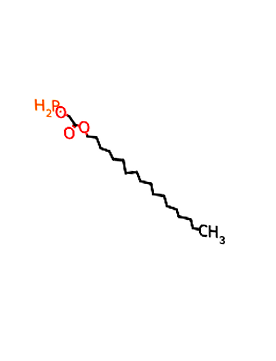 CCCCCCCCCCCCCCCCCCOC(=O)COP